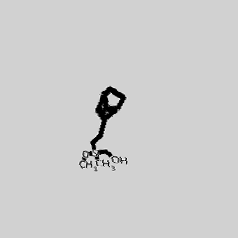 CO[Si](C)(CO)CCC1CC2C=CC1C2